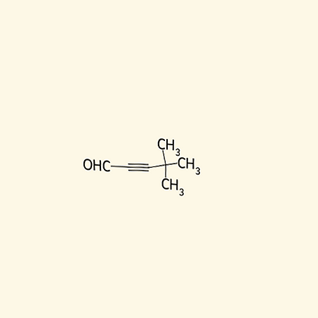 CC(C)(C)C#CC=O